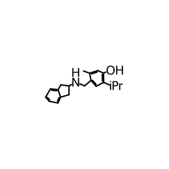 Cc1cc(O)c(C(C)C)cc1CNC1Cc2ccccc2C1